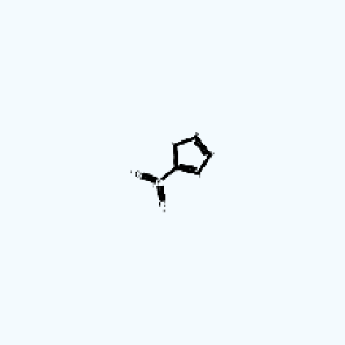 O=P(=O)C1=CC=CC1